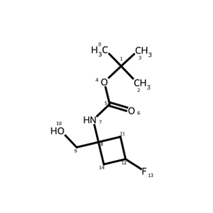 CC(C)(C)OC(=O)NC1(CO)CC(F)C1